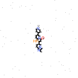 Cc1cn2cc(C3=CC(=O)N4C=C(C5CCN(C)CC5)C=CC4P3)ccc2n1